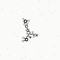 CC(C)(C)OC(=O)NCC(Cc1cnc(N2CCC(Oc3c(Cl)cc(F)cc3Cl)C2)s1)C(=O)N(Cc1cccc(Cl)c1Cl)C1CC1